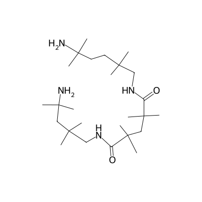 CC(C)(N)CCC(C)(C)CNC(=O)C(C)(C)CC(C)(C)C(=O)NCC(C)(C)CC(C)(C)N